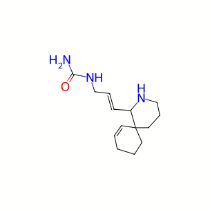 NC(=O)NCC=CC1NCCCC12C=CCCC2